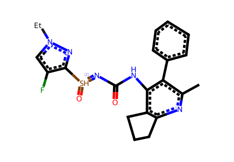 CCn1cc(F)c(/[SH](=O)=N/C(=O)Nc2c3c(nc(C)c2-c2ccccc2)CCC3)n1